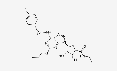 CCCSc1nc(NC2CC2c2ccc(F)cc2)c2nnn([C@H]3C[C@@H](C(=O)NCC)[C@H](O)[C@@H]3O)c2n1